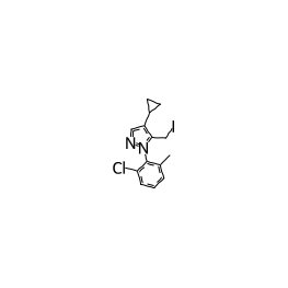 Cc1cccc(Cl)c1-n1ncc(C2CC2)c1CI